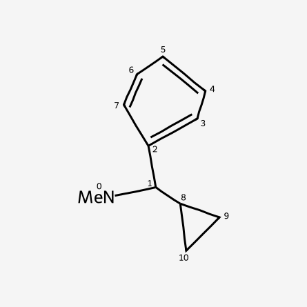 CNC(c1ccccc1)C1CC1